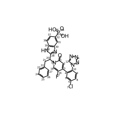 O=c1cc(-c2cc(Cl)ccc2-n2cnnn2)c(F)cn1C(Cc1ccccc1)c1nc2cc(P(=O)(O)O)ccc2[nH]1